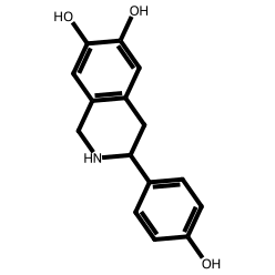 Oc1ccc(C2Cc3cc(O)c(O)cc3CN2)cc1